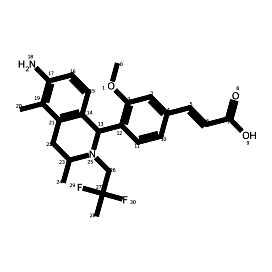 COc1cc(/C=C/C(=O)O)ccc1C1c2ccc(N)c(C)c2CC(C)N1CC(C)(F)F